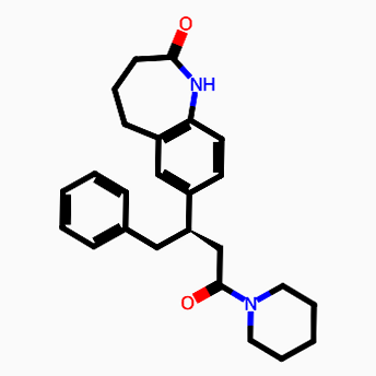 O=C1CCCc2cc([C@@H](CC(=O)N3CCCCC3)Cc3ccccc3)ccc2N1